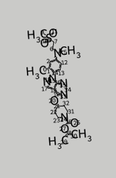 Cc1cc(N(C)CCS(C)(=O)=O)ccc1-n1ncc2c(OC3CCN(C(=O)OC(C)C)CC3)ncnc21